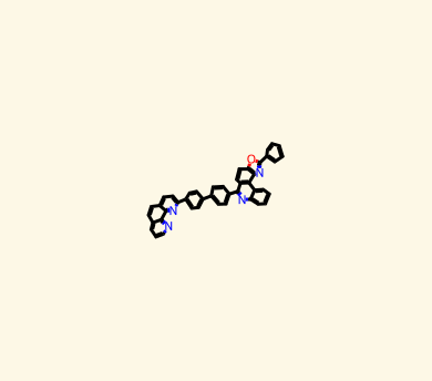 c1ccc(-c2nc3c(ccc4c(-c5ccc(-c6ccc(-c7ccc8ccc9cccnc9c8n7)cc6)cc5)nc5ccccc5c43)o2)cc1